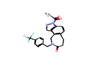 NC(=O)n1ncc2c3c(ccc21)C[CH]C(=O)N(Cc1ccc(C(F)(F)F)cc1)C3